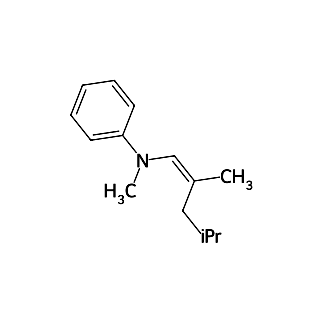 CC(=CN(C)c1ccccc1)CC(C)C